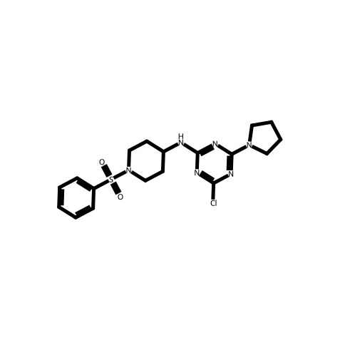 O=S(=O)(c1ccccc1)N1CCC(Nc2nc(Cl)nc(N3CCCC3)n2)CC1